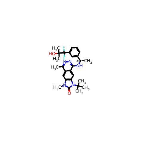 Cc1nnc(N[C@H](C)c2cccc(C(F)(F)C(C)(C)O)c2)c2cc3c(cc12)n(C)c(=O)n3C(C)(C)C